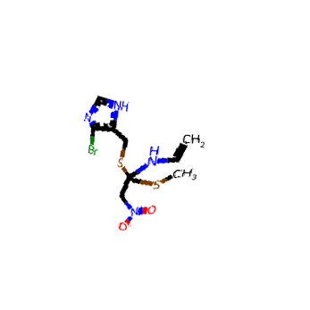 C=CNC(C[N+](=O)[O-])(SC)SCc1[nH]cnc1Br